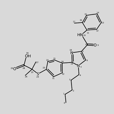 CCCCCn1cc(C(=O)Nc2ccccc2C)nc1-c1ccc(SC(C)(C)C(=O)O)cc1